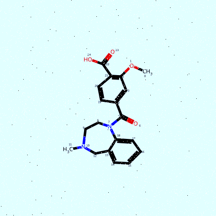 COc1cc(C(=O)N2CCN(C)Cc3ccccc32)ccc1C(=O)O